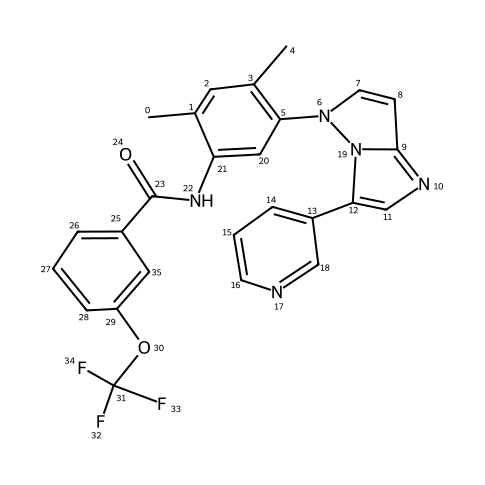 Cc1cc(C)c(-n2ccc3ncc(-c4cccnc4)n32)cc1NC(=O)c1cccc(OC(F)(F)F)c1